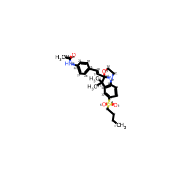 CCCCS(=O)(=O)c1ccc2c(c1)C(C)(C)C1(/C=C/c3ccc(NC(C)=O)cc3)OCCN21